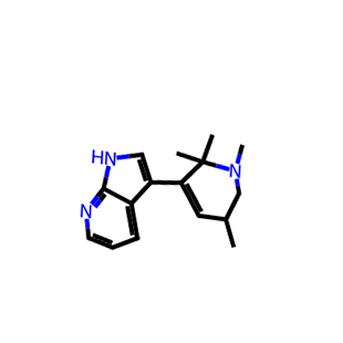 CC1C=C(c2c[nH]c3ncccc23)C(C)(C)N(C)C1